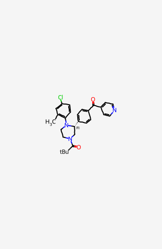 Cc1cc(Cl)ccc1N1CCN(C(=O)C(C)(C)C)C[C@H]1c1ccc(C(=O)c2ccncc2)cc1